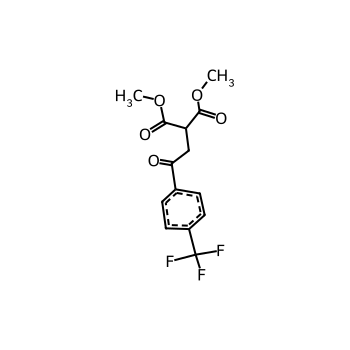 COC(=O)C(CC(=O)c1ccc(C(F)(F)F)cc1)C(=O)OC